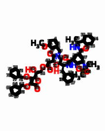 COc1cccc(CN(C[C@@H](O)[C@H](Cc2ccccc2)NC(=O)c2cc(C(=O)N[C@H](C)c3ccccc3)cc(N(C)S(C)(=O)=O)c2)C(=O)CCC(=O)OCC(O)C2OC(=O)C(OCc3ccccc3)=C2OCc2ccccc2)c1